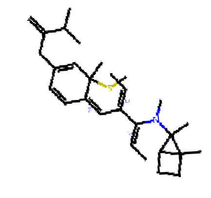 C=C(CC1=CC(C)(SC)\C(=C/C(=C\C)C(=C/C)/N(C)C2(C)C3CCC32C)C=C1)C(C)C